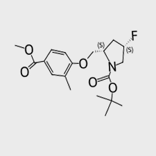 COC(=O)c1ccc(OC[C@@H]2C[C@H](F)CN2C(=O)OC(C)(C)C)c(C)c1